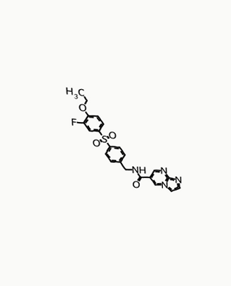 CCOc1ccc(S(=O)(=O)c2ccc(CNC(=O)c3cnc4nccn4c3)cc2)cc1F